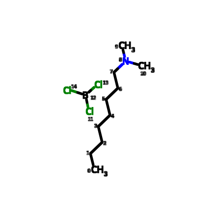 CCCCCCCCN(C)C.ClB(Cl)Cl